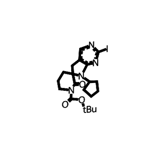 CC(C)(C)OC(=O)N1CCCC2(Cc3cnc(I)nc3N2C2CCCC2)C1=O